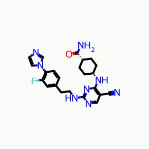 N#Cc1cnc(NCCc2ccc(-n3ccnc3)c(F)c2)nc1N[C@H]1CC[C@@H](C(N)=O)CC1